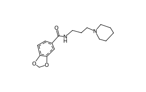 O=C(NCCCN1CCCCC1)c1ccc2c(c1)OCO2